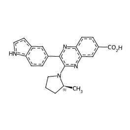 C[C@H]1CCCN1c1nc2cc(C(=O)O)ccc2nc1-c1ccc2[nH]ccc2c1